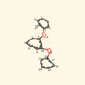 [c]1ccc(Oc2ccccc2Oc2ccccc2)cc1